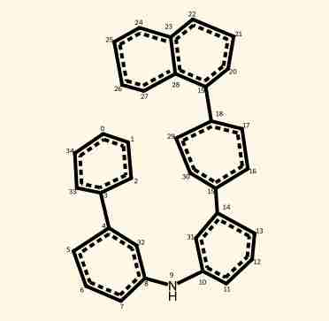 c1ccc(-c2cccc(Nc3cccc(-c4ccc(-c5cccc6ccccc56)cc4)c3)c2)cc1